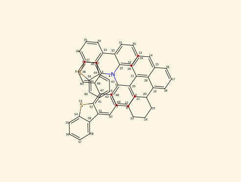 c1ccc(N(c2ccccc2-c2cccc3cccc(C4CCCCC4)c23)c2ccccc2-c2cccc3sc4ccccc4c23)c(-c2cccc3c2sc2ccccc23)c1